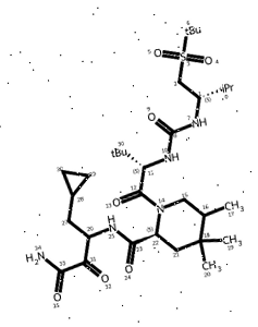 CC(C)[C@@H](CS(=O)(=O)C(C)(C)C)NC(=O)N[C@H](C(=O)N1CC(C)C(C)(C)C[C@H]1C(=O)NC(CC1CC1)C(=O)C(N)=O)C(C)(C)C